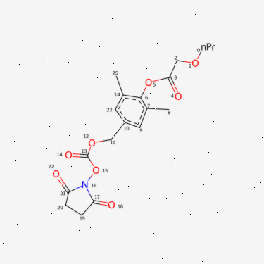 CCCOCC(=O)Oc1c(C)cc(COC(=O)ON2C(=O)CCC2=O)cc1C